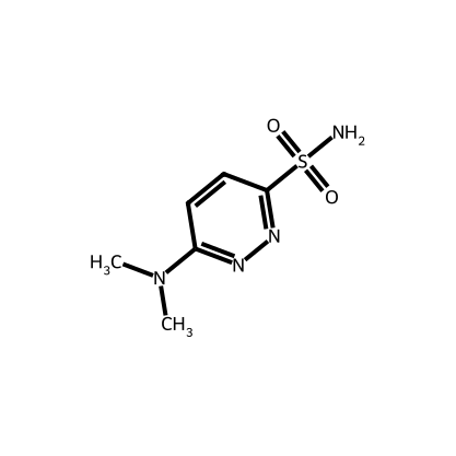 CN(C)c1ccc(S(N)(=O)=O)nn1